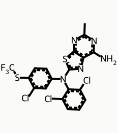 Cc1nc(N)c2nc(N(c3ccc(SC(F)(F)F)c(Cl)c3)c3c(Cl)cccc3Cl)sc2n1